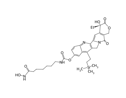 CC[C@@]1(O)C(=O)OCc2c1cc1n(c2=O)Cc2c-1nc1ccc(OC(=O)NCCCCCCC(=O)NO)cc1c2CC[Si](C)(C)C